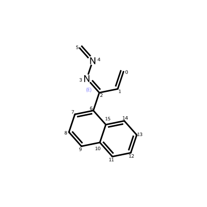 C=C/C(=N\N=C)c1cccc2ccccc12